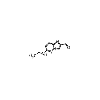 CCNc1ccc2nc(C=O)cn2n1